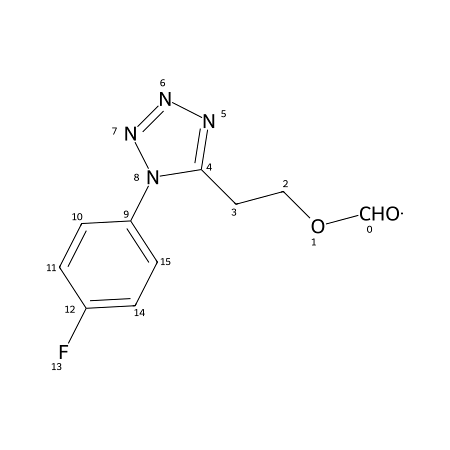 O=[C]OCCc1nnnn1-c1ccc(F)cc1